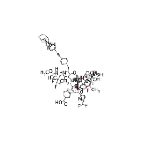 COC(=O)N[C@H](C(=O)N[C@@H](Cc1ccc(C#Cc2cnc(N3CC4CCC(C3)N4C3COC3)nc2)cc1)[C@H](CN(Cc1c(F)cc(-c2ccn(C(F)F)n2)cc1F)NC(=O)[C@@H](NC(=O)OC)C(C)(C)C(F)(F)F)OC(=O)CC(C)(C)c1c(CC(=O)NCc2cccc(C(=O)O)c2)cc(C)cc1OP(=O)(O)O)C(C)(C)C(F)(F)F